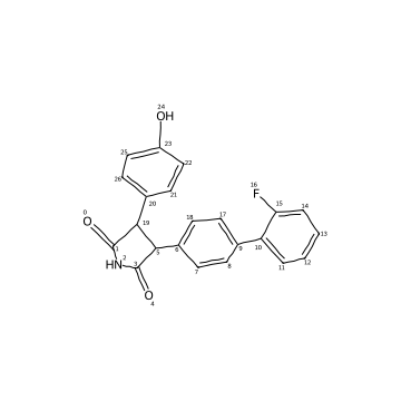 O=C1NC(=O)C(c2ccc(-c3ccccc3F)cc2)C1c1ccc(O)cc1